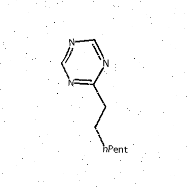 CCCCCCCc1ncncn1